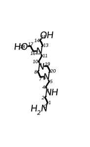 NCCNCCN1CCN(CCN(CCO)CCO)CC1